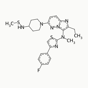 CCc1nc2ccc(N3CCC(NSC)CC3)nn2c1N(C)c1nc(-c2ccc(F)cc2)cs1